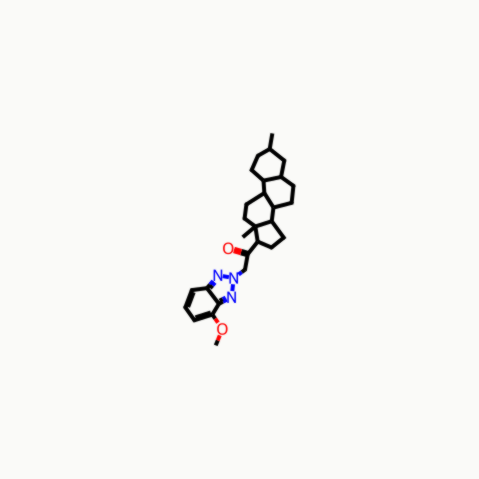 COc1cccc2nn(CC(=O)C3CCC4C5CCC6CC(C)CCC6C5CCC34C)nc12